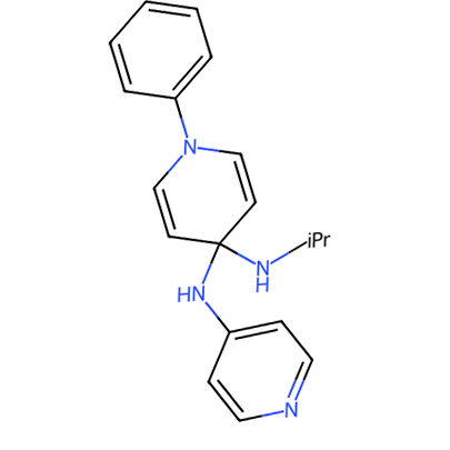 CC(C)NC1(Nc2ccncc2)C=CN(c2ccccc2)C=C1